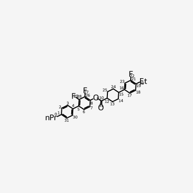 CCCc1ccc(-c2ccc(OC(=O)C3CCC(c4ccc(CC)c(F)c4)CC3)c(F)c2F)cc1